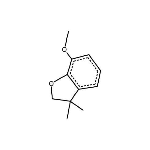 COc1cccc2c1OCC2(C)C